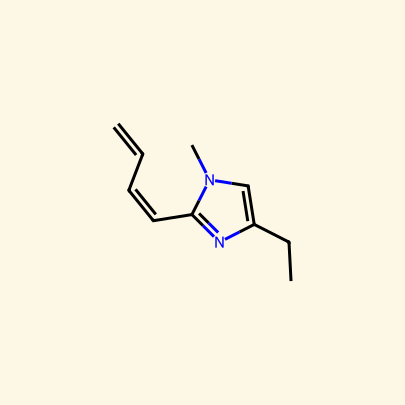 C=C/C=C\c1nc(CC)cn1C